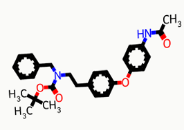 CC(=O)Nc1ccc(Oc2ccc(CCN(Cc3ccccc3)C(=O)OC(C)(C)C)cc2)cc1